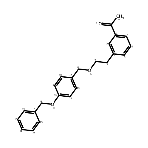 CC(=O)c1cccc(CCOCc2ccc(OCc3ccccc3)cc2)c1